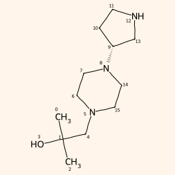 CC(C)(O)CN1CCN([C@@H]2CCNC2)CC1